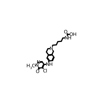 Cn1ncc(Nc2ccc3c(c2)CCN(CCCCCNC(=O)O)C3)c(Cl)c1=O